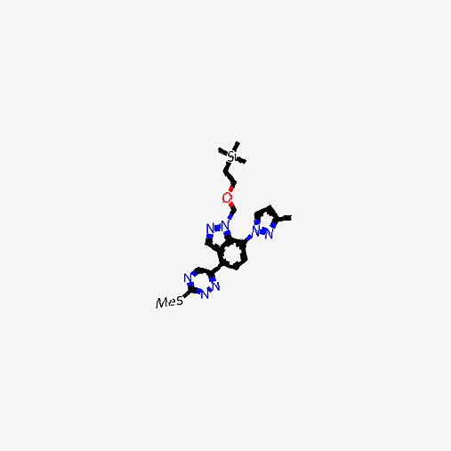 CSc1ncc(-c2ccc(-n3ccc(C)n3)c3c2cnn3COCC[Si](C)(C)C)nn1